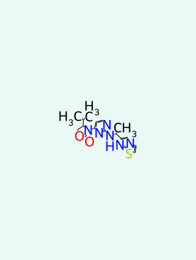 CC(Nc1nccc(N2C(=O)OCC2C(C)C)n1)c1cn2ccsc2n1